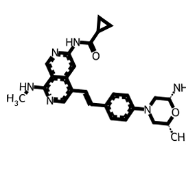 CNc1ncc(/C=C/c2ccc(N3C[C@@H](C)O[C@@H](N)C3)cc2)c2cc(NC(=O)C3CC3)ncc12